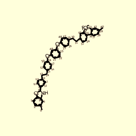 Cc1ccc2c(c1)NC(c1ccc(CCc3ccc(Oc4cccc(Oc5ccc(CCc6ccc(-c7ccc(C)cc7C(F)(F)F)c(C(F)(F)F)c6)cc5)c4)cc3)cc1)O2